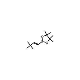 CC(C)(C)C=CB1OC(C)(C)C(C)(C)O1